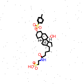 Cc1ccc(S(=O)(=O)O[C@@H]2CC[C@@]3(C)C(C2)C[C@H](O)[C@H]2[C@@H]4CC[C@H]([C@H](C)CCC(=O)NCCS(=O)(=O)O)[C@@]4(C)CC[C@@H]23)cc1